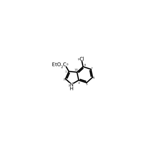 CCOC(=O)c1[c][nH]c2cccc(Cl)c12